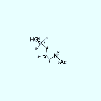 CC(=O)N(C)CC(C)C[Si](C)(C)O